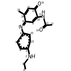 CCNc1ccc(/N=C2\C=C(NC(C)=O)C(=O)C=C2C)cc1